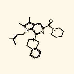 CC(C)=CCn1c(C)c(C)c2cc(C(=O)N3CCCCC3)nc(N3CCc4ccccc4C3)c21